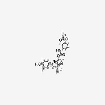 CS(=O)(=O)c1cccc(NC(=O)Oc2cnn3c(C(F)F)cc(-c4ccc(C(F)(F)F)c(F)c4)nc23)c1